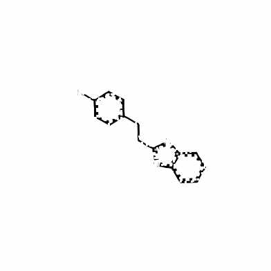 Nc1ccc(CCc2nc3ccccc3[nH]2)cc1